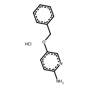 Cl.Nc1ccc(OCc2ccccc2)cn1